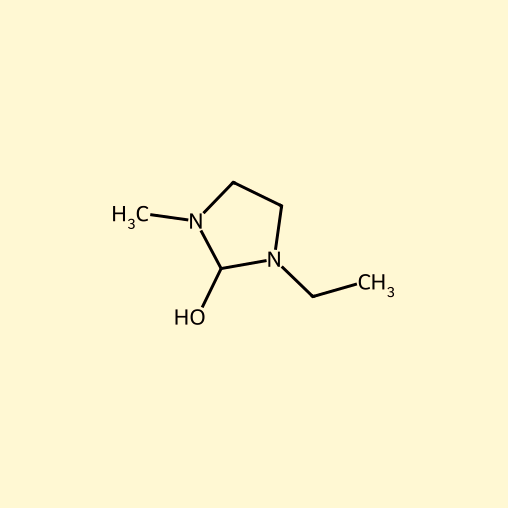 CCN1CCN(C)C1O